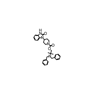 CC(C)(COC(=O)N1CCC(n2c(=O)[nH]c3ccccc32)CC1)N(Cc1ccccc1)Cc1ccccc1